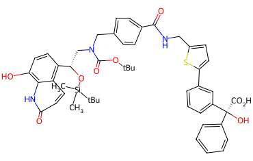 CC(C)(C)OC(=O)N(Cc1ccc(C(=O)NCc2ccc(-c3cccc([C@](O)(C(=O)O)c4ccccc4)c3)s2)cc1)C[C@H](O[Si](C)(C)C(C)(C)C)c1ccc(O)c2[nH]c(=O)ccc12